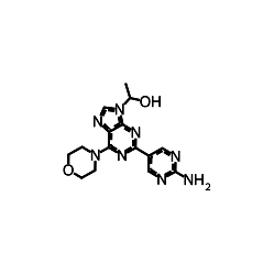 CC(O)n1cnc2c(N3CCOCC3)nc(-c3cnc(N)nc3)nc21